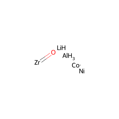 [AlH3].[Co].[LiH].[Ni].[O]=[Zr]